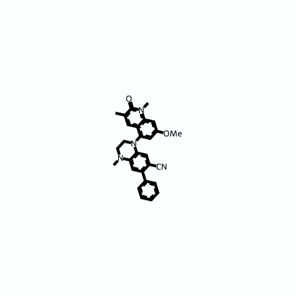 COc1cc(N2CCN(C)c3cc(-c4ccccc4)c(C#N)cc32)c2cc(C)c(=O)n(C)c2c1